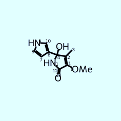 COC1=C(C)C(O)(c2cc[nH]c2)NC1=O